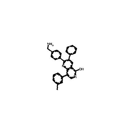 Cc1cccc(-c2cnc(O)c3cc(-c4ccccc4)c(-c4ccc(CN)cc4)nc23)c1